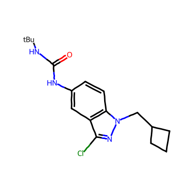 CC(C)(C)NC(=O)Nc1ccc2c(c1)c(Cl)nn2CC1CCC1